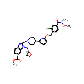 COC(=O)c1ccc2nc(CN3CCC(c4cccc(OCc5ccc(C(=O)N(C)OC)cc5F)n4)CC3)n(C[C@@H]3CCO3)c2c1